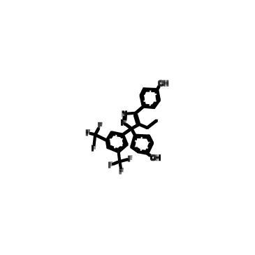 CCC1=C(c2ccc(O)cc2)N=NC1(c1ccc(O)cc1)c1cc(C(F)(F)F)cc(C(F)(F)F)c1